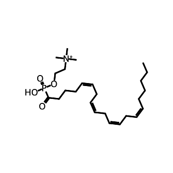 CCCCC/C=C\C/C=C\C/C=C\C/C=C\CCCC(=O)P(=O)(O)OCC[N+](C)(C)C